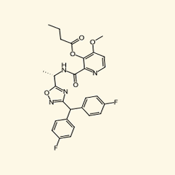 CCCC(=O)Oc1c(OC)ccnc1C(=O)N[C@@H](C)c1nc(C(c2ccc(F)cc2)c2ccc(F)cc2)no1